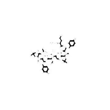 CN[C@@H](CCC(C)C)C(=O)O[C@H](Cc1ccc(C(C)(C)C)cc1)C(=O)N(C)[C@@H](CC(C)(C)F)C(=O)O[C@H](C)C(=O)N(C)[C@@H](CC(C)C)C(=O)O[C@H](Cc1ccc(C(C)(C)C)cc1)C(=O)N(C)[C@@H](CC(C)(C)F)C(=O)O[C@H](C)C(=O)O